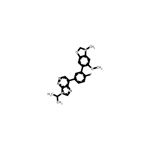 COc1cc2c(cc1-c1cc(-c3cnnc4c3ncn4C(C)C)ccc1F)OCN2C